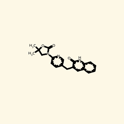 CC1(C)CN(c2ccc(Cc3cc4ccccc4[nH]c3=O)cn2)C(=O)O1